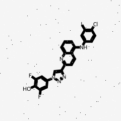 Oc1c(F)cc(-n2cc(-c3ccc4c(Nc5ccc(Cl)c(I)c5)cccc4n3)nn2)cc1F